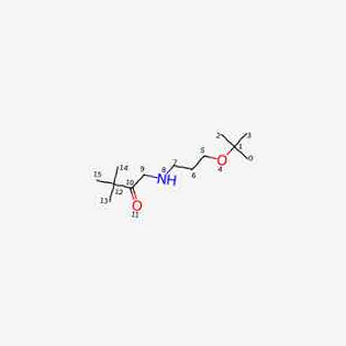 CC(C)(C)OCCCNCC(=O)C(C)(C)C